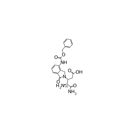 NC(=O)[C@@H](N)C(CC(=O)O)N1Cc2c(NC(=O)OCc3ccccc3)cccc2C1=O